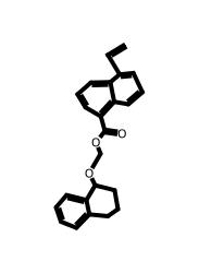 C=Cc1cccc2c(C(=O)OCOC3CCCc4ccccc43)cccc12